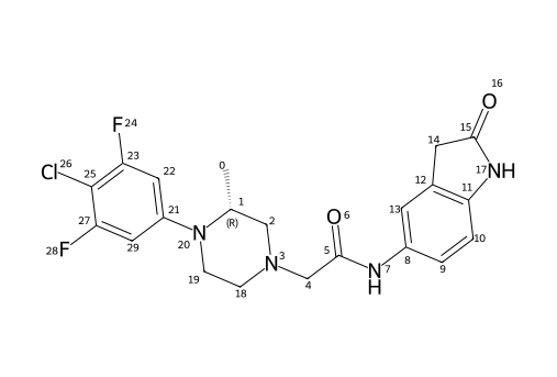 C[C@@H]1CN(CC(=O)Nc2ccc3c(c2)CC(=O)N3)CCN1c1cc(F)c(Cl)c(F)c1